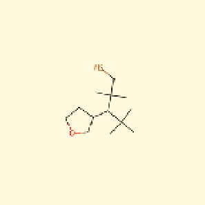 CC(C)(C)C(C1CCOC1)C(C)(C)CS